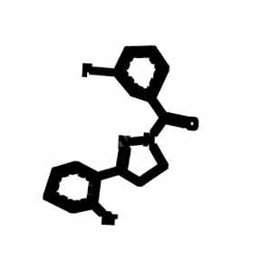 O=C(c1cccc(F)c1)N1CCC(c2ccccc2Br)=N1